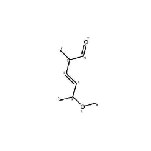 COC(C)C=CC(C)C=O